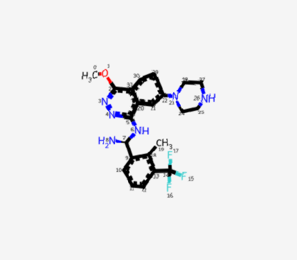 COc1nnc(N[C@H](N)c2cccc(C(F)(F)F)c2C)c2cc(N3CCNCC3)ccc12